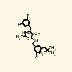 CC(=O)N[C@@H](Cc1cc(F)cc(F)c1)[C@H](O)CNCc1cc(Br)cc(CC(C)(C)C)c1